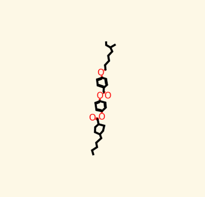 CCCCCC1CCC(C(=O)Oc2ccc(OC(=O)c3ccc(OCCCCCC(C)CC)cc3)cc2)CC1